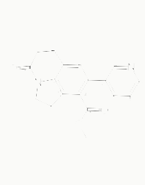 COC(=O)c1c(-c2cccnc2)cc2c3c1CCN3C(=O)CC2